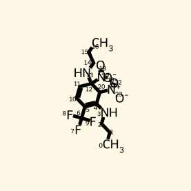 CCCNC1=C(C(F)(F)F)C=CC(NCCC)([N+](=O)[O-])C1[N+](=O)[O-]